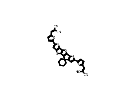 N#CC(C#N)=Cc1ccc(-c2cc3c(s2)-c2sc4c(sc5cc(-c6ccc(C=C(C#N)C#N)s6)sc54)c2C32CCCCC2)s1